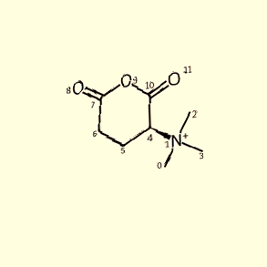 C[N+](C)(C)[C@H]1CCC(=O)OC1=O